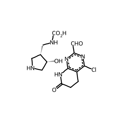 O=C(O)NC[C@H]1CNC[C@H]1O.O=Cc1nc(Cl)c2c(n1)NC(=O)CC2